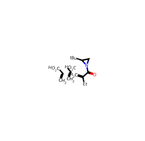 C=C(CC)C(=O)N1CC1C(C)(C)C.C=CC(=O)O.C=CC(=O)O